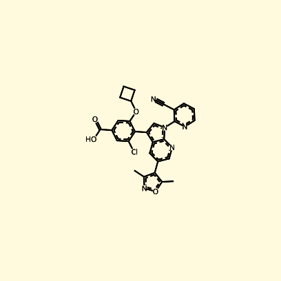 Cc1noc(C)c1-c1cnc2c(c1)c(-c1c(Cl)cc(C(=O)O)cc1OC1CCC1)cn2-c1ncccc1C#N